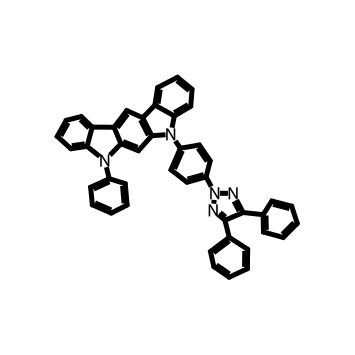 c1ccc(-c2nn(-c3ccc(-n4c5ccccc5c5cc6c7ccccc7n(-c7ccccc7)c6cc54)cc3)nc2-c2ccccc2)cc1